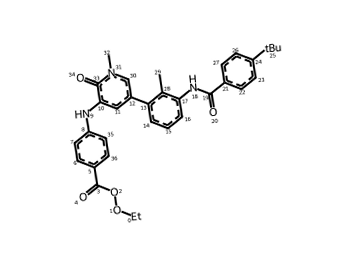 CCOOC(=O)c1ccc(Nc2cc(-c3cccc(NC(=O)c4ccc(C(C)(C)C)cc4)c3C)cn(C)c2=O)cc1